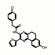 O=C(Cc1ccc(Cl)cc1)Nc1nc2c(nc1-c1cccs1)-c1ccc(O)cc1CC2